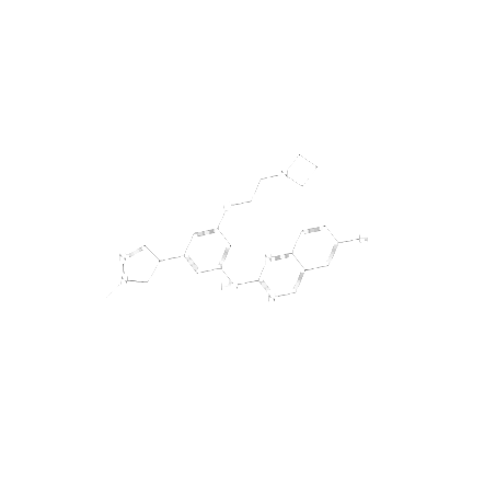 CN1CC(c2cc(Nc3ncc4cc(Br)ccc4n3)cc(OCCN3CCC3)c2)C=N1